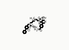 CN(CCCCN(Cc1ccc(-c2ccccc2)c(Cl)c1)C(=O)OC(C)(C)C)CCN(C(=O)OC(C)(C)C)c1nc2cc(C(N)=O)ccc2c2cnccc12